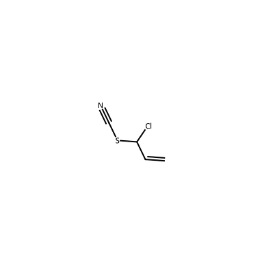 C=CC(Cl)SC#N